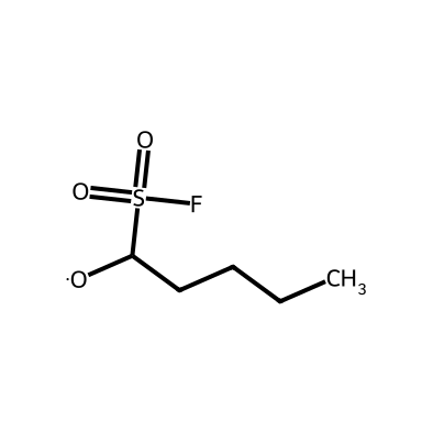 CCCCC([O])S(=O)(=O)F